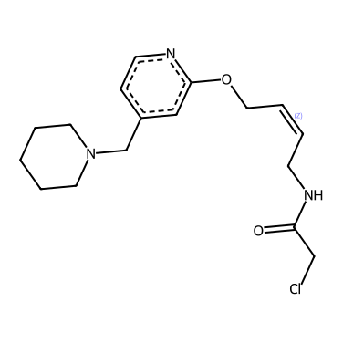 O=C(CCl)NC/C=C\COc1cc(CN2CCCCC2)ccn1